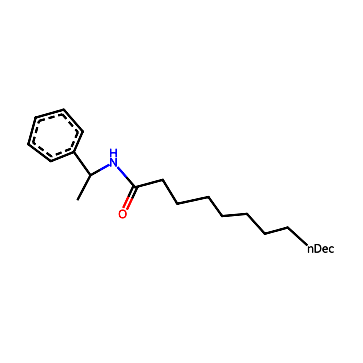 CCCCCCCCCCCCCCCCCC(=O)NC(C)c1ccccc1